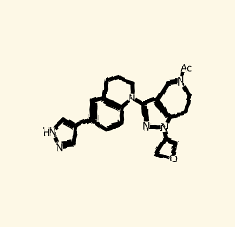 CC(=O)N1CCc2c(c(N3CCCc4cc(-c5cn[nH]c5)ccc43)nn2C2COC2)C1